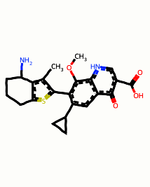 COc1c(-c2sc3c(c2C)C(N)CCC3)c(C2CC2)cc2c(=O)c(C(=O)O)c[nH]c12